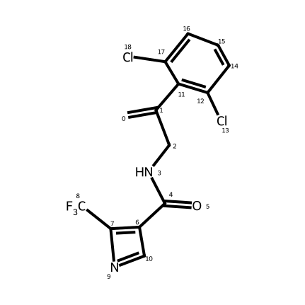 C=C(CNC(=O)C1=C(C(F)(F)F)N=C1)c1c(Cl)cccc1Cl